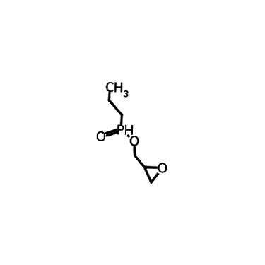 CCC[PH](=O)OCC1CO1